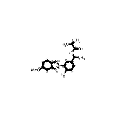 C=C(C)C(=O)OC(C)c1ccc(O)c(-n2nc3ccc(OC)cc3n2)c1